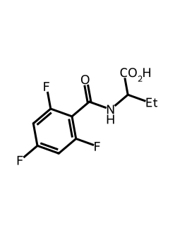 CCC(NC(=O)c1c(F)cc(F)cc1F)C(=O)O